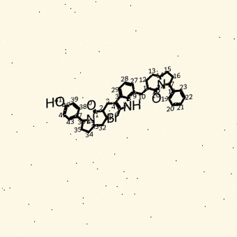 O=C1C(Cc2c(Br)[nH]c3c(CC4CCC5CCC(c6ccccc6)N5C4=O)cccc23)CCC2CCC(c3ccc(O)cc3)N12